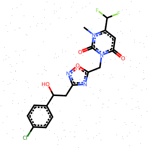 Cn1c(C(F)F)cc(=O)n(Cc2nc(CC(O)c3ccc(Cl)cc3)no2)c1=O